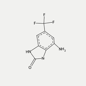 Nc1cc(C(F)(F)F)cc2c1[N]C(=O)N2